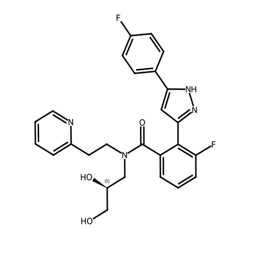 O=C(c1cccc(F)c1-c1cc(-c2ccc(F)cc2)[nH]n1)N(CCc1ccccn1)C[C@H](O)CO